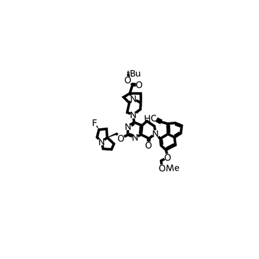 C#Cc1cccc2cc(OCOC)cc(N3CCc4c(nc(OC[C@@]56CCCN5C[C@H](F)C6)nc4N4CC5CC6(C(=O)OC(C)(C)C)CC(C4)N56)C3=O)c12